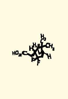 CC1(C)[C@@H]2C[C@H]1[C@H](CC(=O)O)C(F)(F)C2